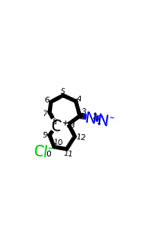 [Cl-].[N-]=[N+]=C1CCCC[C+]2CCCCC12